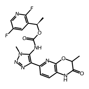 CC1Oc2nc(-c3nnn(C)c3NC(=O)O[C@H](C)c3cc(F)cnc3F)ccc2NC1=O